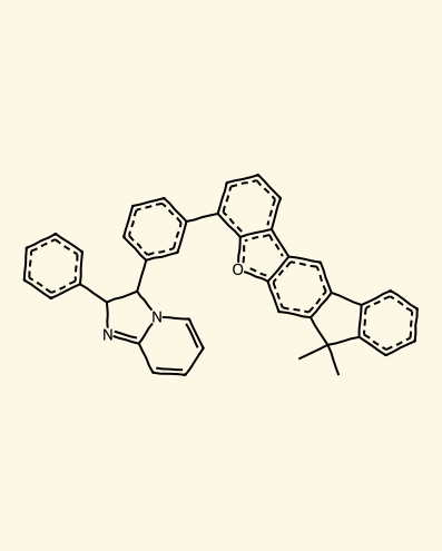 CC1(C)c2ccccc2-c2cc3c(cc21)oc1c(-c2cccc(C4C(c5ccccc5)N=C5C=CC=CN54)c2)cccc13